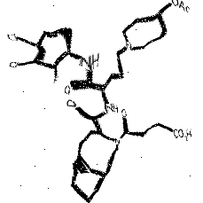 CC(=O)OC1CCN(CCC(NC(=O)C2Cc3ccccc3CN2C(=O)CCC(=O)O)C(=O)Nc2ccc(Cl)c(Cl)c2F)CC1